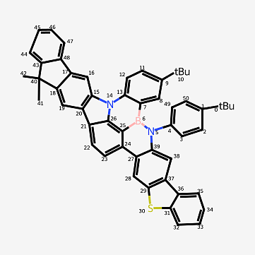 CC(C)(C)c1ccc(N2B3c4cc(C(C)(C)C)ccc4-n4c5cc6c(cc5c5ccc(c3c54)-c3cc4sc5ccccc5c4cc32)C(C)(C)c2ccccc2-6)cc1